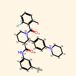 Cc1cccc(F)c1C(=O)N1CCC[C@H](C(=O)Nc2cccc(C(C)(C)C)c2)[C@@H]1c1ccc(N2CCCCC2)cc1